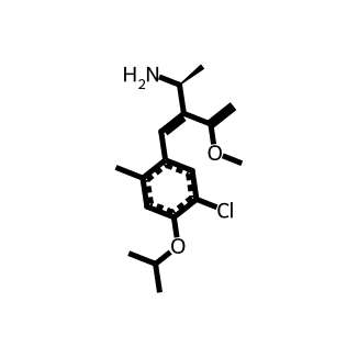 C=C(OC)/C(=C\c1cc(Cl)c(OC(C)C)cc1C)[C@H](C)N